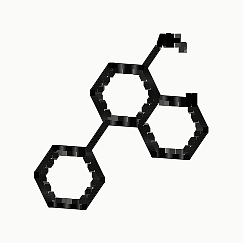 [AlH2][c]1ccc(-c2ccccc2)c2cccnc12